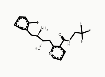 N[C@H](Cc1ccccc1F)[C@@H](O)Cc1ncccc1C(=O)NCC(F)(F)F